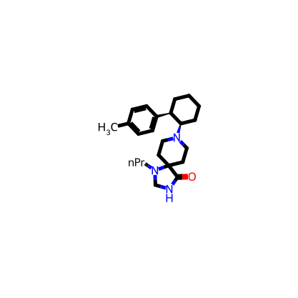 CCCN1CNC(=O)C12CCN([C@@H]1CCCC[C@@H]1c1ccc(C)cc1)CC2